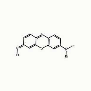 CC/N=c1/ccc2nc3ccc(N(CC)CC)cc3oc-2c1